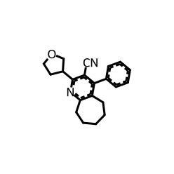 N#Cc1c(C2CCOC2)nc2c(c1-c1ccccc1)CCCCC2